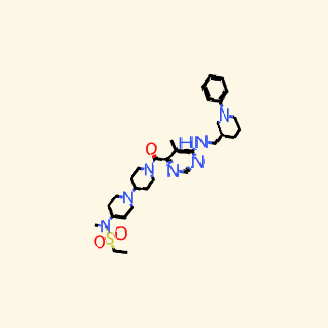 CCS(=O)(=O)N(C)C1CCN(C2CCN(C(=O)c3ncnc(NCC4CCCN(c5ccccc5)C4)c3C)CC2)CC1